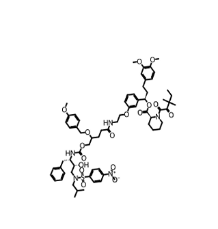 CCC(C)(C)C(=O)C(=O)N1CCCC[C@H]1C(=O)O[C@H](CCc1ccc(OC)c(OC)c1)c1cccc(OCCNC(=O)CCC(COC(=O)N[C@@H](Cc2ccccc2)[C@H](O)CN(CC(C)C)S(=O)(=O)c2ccc([N+](=O)[O-])cc2)OCc2ccc(OC)cc2)c1